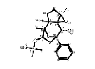 CC(C)(C)[Si](C)(C)O[C@@H]1C[C@]2(c3ccccc3)O[C@@]1(C)[C@@H]1CC[C@@]3(C)OC13[C@@H]2O